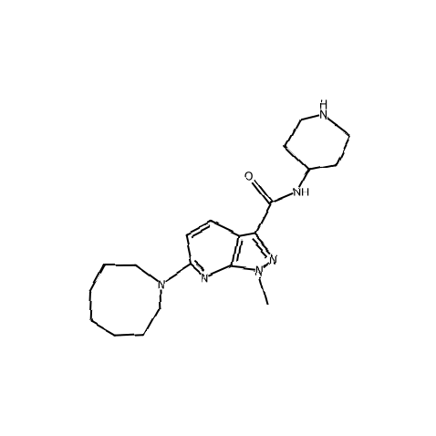 Cn1nc(C(=O)NC2CCNCC2)c2ccc(N3CCCCCCC3)nc21